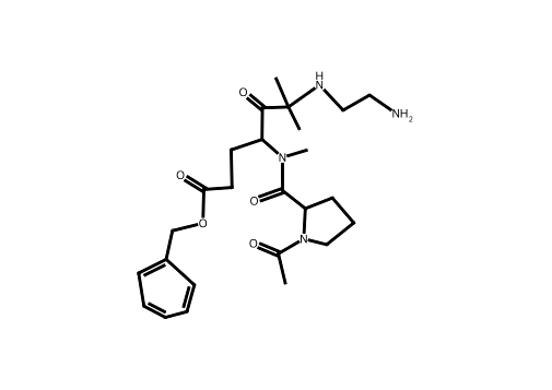 CC(=O)N1CCCC1C(=O)N(C)C(CCC(=O)OCc1ccccc1)C(=O)C(C)(C)NCCN